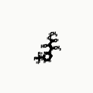 COC(=O)C(O)=C(C)c1cccc(C(F)(F)F)n1